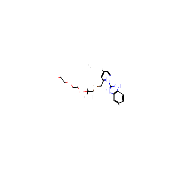 COc1cc[n+](-c2nc3cc(C(F)(F)F)ccc3[nH]2)c(CSCC(C)(C)OCCOCCO)c1